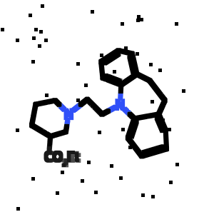 CCOC(=O)C1CCCN(CCN2c3ccccc3CCc3ccccc32)C1